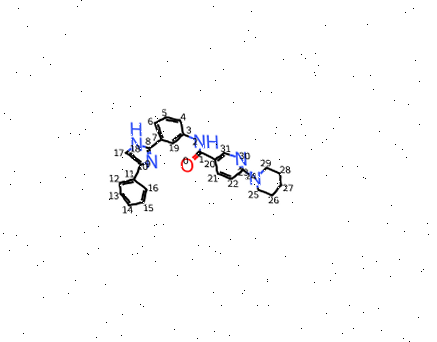 O=C(Nc1cccc(-c2nc(-c3ccccc3)c[nH]2)c1)c1ccc(N2CCCCC2)nc1